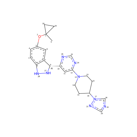 CC1(Oc2ccc3c(c2)[C@H](c2cc(N4CCC(n5cncn5)CC4)ncn2)NN3)CC1